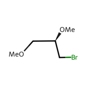 COC[C@H](CBr)OC